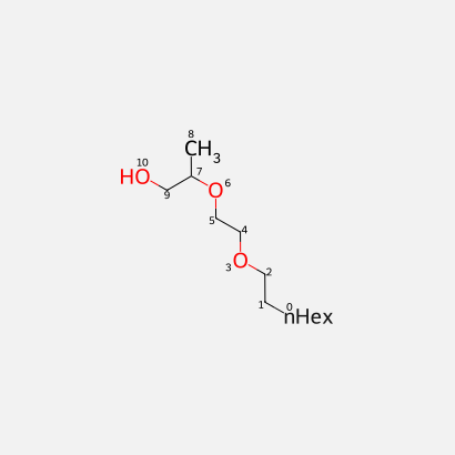 CCCCCCCCOCCOC(C)CO